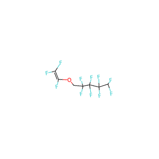 FC(F)=C(F)OCC(F)(F)C(F)(F)C(F)(F)C(F)F